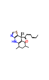 C=C(/C=C\C=C/C)[C@]1(CC)C2=C(Nc3ncsc31)C(C)CC(C)C2=O